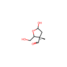 C[C@]1(C=O)CC(O)OC1CO